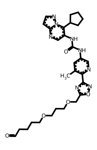 Cc1cc(NC(=O)Nc2cnc3ccnn3c2C2CCCC2)cnc1-c1noc(COCCCOCCCCC=O)n1